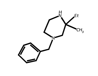 CCC1(C)CN(Cc2ccccc2)CCN1